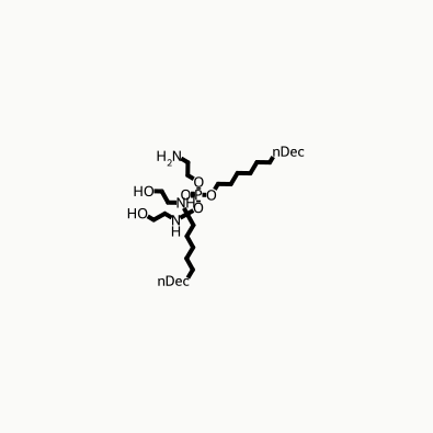 CCCCCCCCCCCCCCCCOP(=O)(OCCN)OC(CCCCCCCCCCCCCCC)(NCCO)NCCO